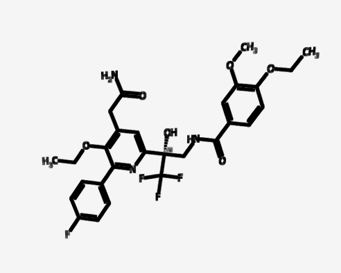 CCOc1ccc(C(=O)NC[C@](O)(c2cc(CC(N)=O)c(OCC)c(-c3ccc(F)cc3)n2)C(F)(F)F)cc1OC